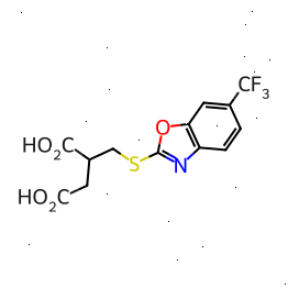 O=C(O)CC(CSc1nc2ccc(C(F)(F)F)cc2o1)C(=O)O